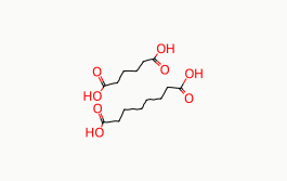 O=C(O)CCCCC(=O)O.O=C(O)CCCCCCC(=O)O